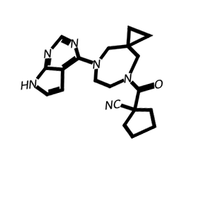 N#CC1(C(=O)N2CCN(c3ncnc4[nH]ccc34)CC3(CC3)C2)CCCC1